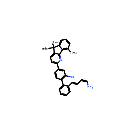 CCCCCCC1(CCCCCC)c2ccc(-c3ccc(-c4ccccc4C=C/C=C\N)c(N)c3)nc2-c2c(OC)cccc21